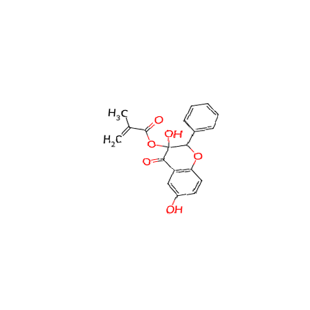 C=C(C)C(=O)OC1(O)C(=O)c2cc(O)ccc2OC1c1ccccc1